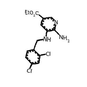 CCOC(=O)c1cnc(N)c(NCc2ccc(Cl)cc2Cl)c1